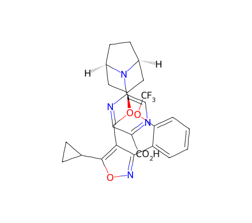 O=C(O)c1cnc(N2[C@@H]3CC[C@H]2C[C@@H](OCc2c(-c4ccccc4OC(F)(F)F)noc2C2CC2)C3)cn1